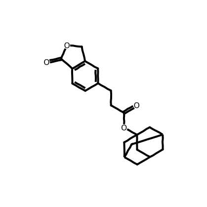 O=C(CCc1ccc2c(c1)COC2=O)OC12CC3CC(CC(C3)C1)C2